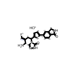 Cl.NC/C(=C/F)CC(c1ccc(-c2ccc3c(c2)CNC3=O)s1)n1cn[nH]c1=O